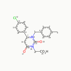 Cc1ccc(Cn2c(-c3ccc(Cl)cc3)cc(=O)n(CC(=O)O)c2=O)cc1